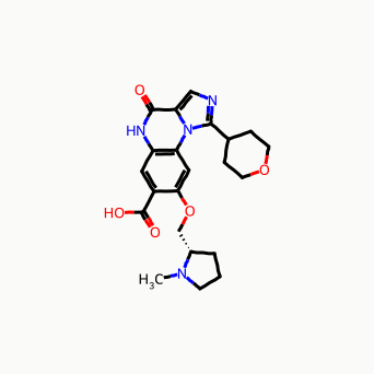 CN1CCC[C@H]1COc1cc2c(cc1C(=O)O)[nH]c(=O)c1cnc(C3CCOCC3)n12